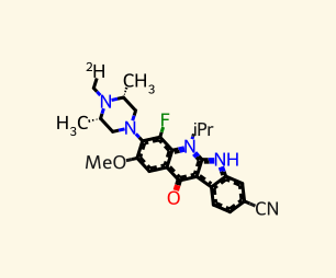 [2H]CN1[C@H](C)CN(c2c(OC)cc3c(=O)c4c5ccc(C#N)cc5[nH]c4n(C(C)C)c3c2F)C[C@@H]1C